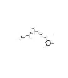 Cc1cc(O)cc(C(NC(=O)CCC(NC(=O)C(N)CCC(N)=O)C(N)=O)C(=O)O)c1